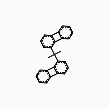 CC(C)(c1cccc2c1-c1ccccc1-2)c1cccc2c1-c1ccccc1-2